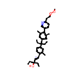 CCC(O)(/C=C/c1ccc(C(CC)(CC)c2cc(C)c(-c3ccc(CCOOC)nc3)c(C)c2)cc1C)CC